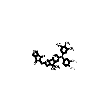 Cc1ccc(N(c2cc(C)c(C)c(C)c2)c2cnc3c(c2)C(C)(C)c2cc(C=C4C(=O)c5cscc5C4=O)sc2-3)cc1C